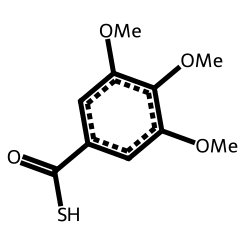 COc1cc(C(=O)S)cc(OC)c1OC